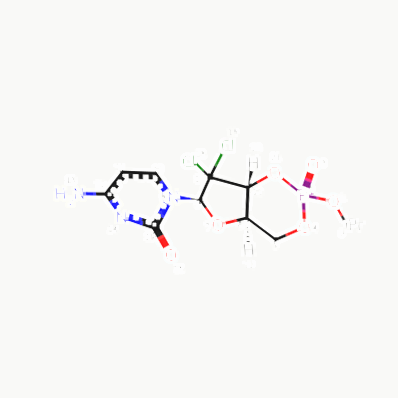 CC(C)OP1(=O)OC[C@H]2O[C@@H](n3ccc(N)nc3=O)C(Cl)(Cl)[C@@H]2O1